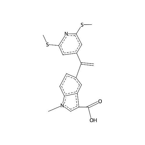 C=C(c1cc(SC)nc(SC)c1)c1ccc2c(c1)c(C(=O)O)cn2C